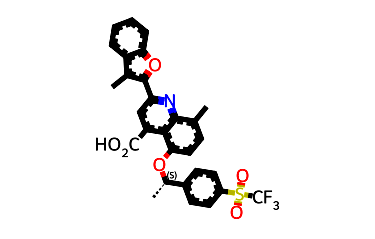 Cc1c(-c2cc(C(=O)O)c3c(O[C@@H](C)c4ccc(S(=O)(=O)C(F)(F)F)cc4)ccc(C)c3n2)oc2ccccc12